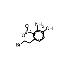 Nc1c(O)ccc(CCBr)c1[N+](=O)[O-]